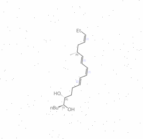 CC/C=C\C[C@@H](C)/C=C/C=C\C=C\CC[C@@H](O)[C@@H](O)CCCC